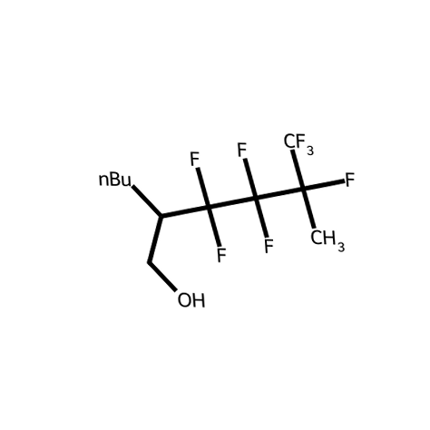 CCCCC(CO)C(F)(F)C(F)(F)C(C)(F)C(F)(F)F